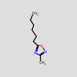 [CH2]CCCCCc1nc(C)no1